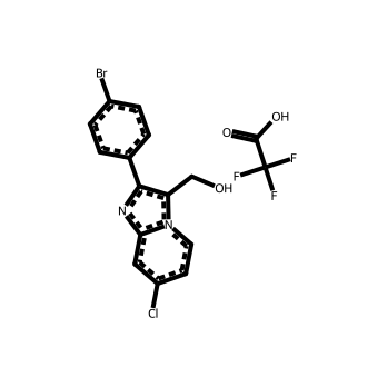 O=C(O)C(F)(F)F.OCc1c(-c2ccc(Br)cc2)nc2cc(Cl)ccn12